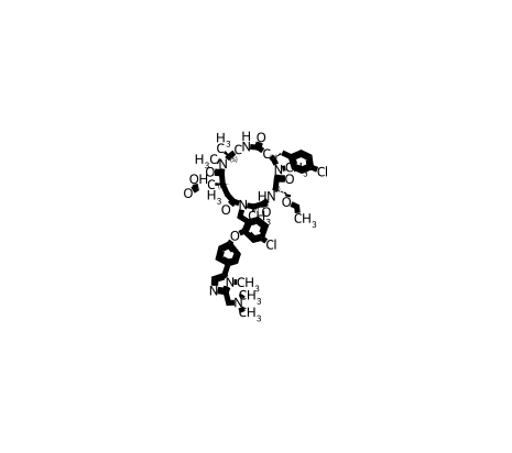 CCOC[C@@H]1NC(=O)[C@H](C)N(Cc2ccc(Cl)cc2Oc2ccc(-c3cnc(CN(C)C)n3C)cc2)C(=O)C[C@@H](C)C(=O)N(C)[C@@H](C)CNC(=O)C[C@H](Cc2ccc(Cl)cc2)N(C)C1=O.O=CO